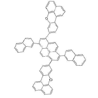 c1ccc2cc(-c3cc(-c4ccc5c(c4)Oc4cccc6cccc-5c46)c4ccc5c(-c6ccc7ccccc7c6)cc(-c6ccc7c(c6)Oc6cccc8cccc-7c68)c6ccc3c4c65)ccc2c1